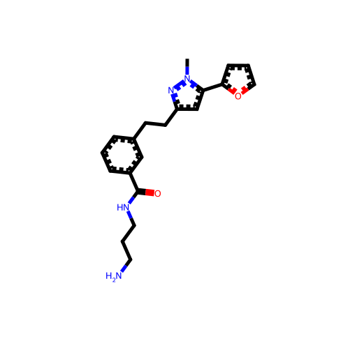 Cn1nc(CCc2cccc(C(=O)NCCCN)c2)cc1-c1ccco1